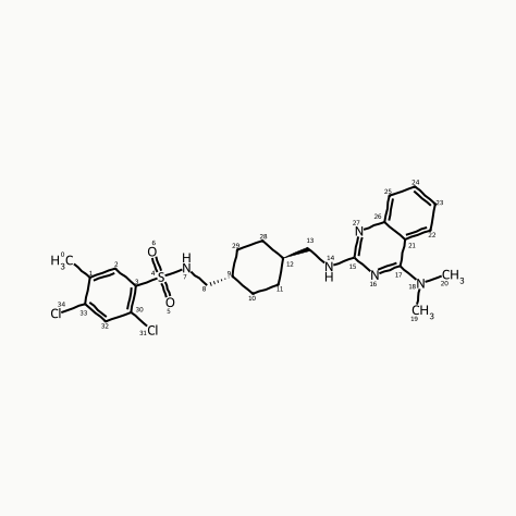 Cc1cc(S(=O)(=O)NC[C@H]2CC[C@H](CNc3nc(N(C)C)c4ccccc4n3)CC2)c(Cl)cc1Cl